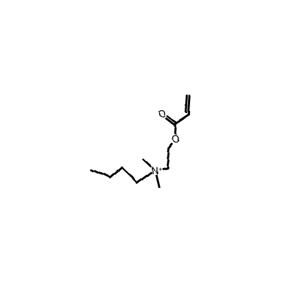 C=CC(=O)OCC[N+](C)(C)CCCC